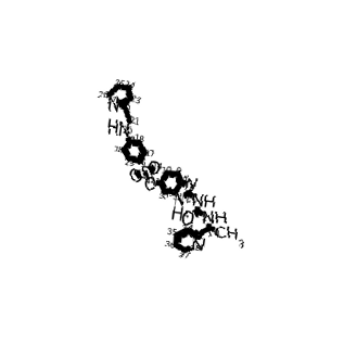 CC(NC(=O)Nc1nc2ccc(OS(=O)(=O)c3ccc(NCc4ccccn4)cc3)cc2[nH]1)c1ccccn1